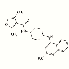 Cc1coc(C)c1C(=O)NC1CCC(Nc2cc(C(F)(F)F)nc3ccccc23)CC1